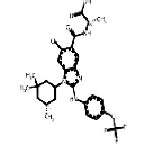 C[C@H]1CC(n2c(Nc3ccc(OC(F)(F)F)cc3)nc3cc(C(=O)N[C@@H](C)C(=O)O)c(Cl)cc32)CC(C)(C)C1